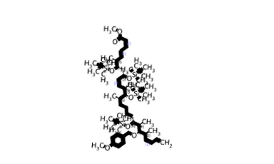 C=C/C=C\[C@H](C)[C@H](OCc1ccc(OC)cc1)[C@@H](C)[C@@H](CCCC[C@H](C)[C@@H](O[Si](C)(C)C(C)(C)C)[C@@H](C)/C=C\[C@H](C[C@H](O[Si](C)(C)C(C)(C)C)[C@H](C)/C=C/C=C\C(=O)OC)O[Si](C)(C)C(C)(C)C)O[Si](C)(C)C(C)(C)C